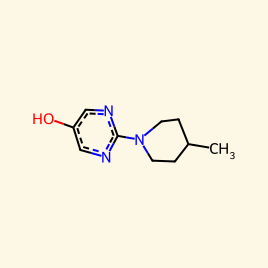 CC1CCN(c2ncc(O)cn2)CC1